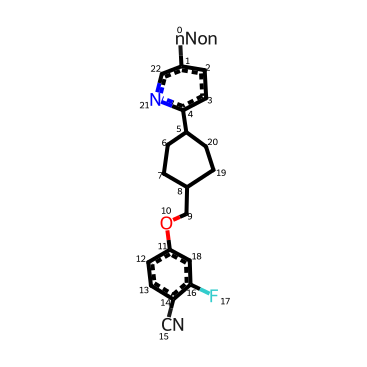 CCCCCCCCCc1ccc(C2CCC(COc3ccc(C#N)c(F)c3)CC2)nc1